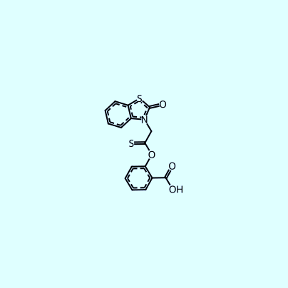 O=C(O)c1ccccc1OC(=S)Cn1c(=O)sc2ccccc21